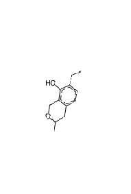 CCc1ccc2c(c1O)COC(C)C2